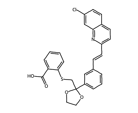 O=C(O)c1ccccc1SCC1(c2cccc(C=Cc3ccc4ccc(Cl)cc4n3)c2)OCCO1